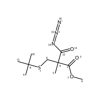 COC(=O)C(C)(CSC(C)(C)C)C(=O)N=[N+]=[N-]